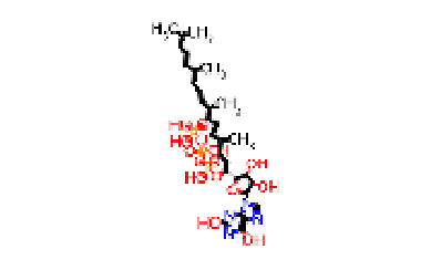 CC(C)=CCC/C(C)=C/CC/C(C)=C/CC/C(C)=C/CC(OP(=O)(O)OP(=O)(O)OP(=O)(O)O)[C@H]1O[C@@H](n2cnc3c(O)nc(O)nc32)[C@H](O)[C@@H]1O